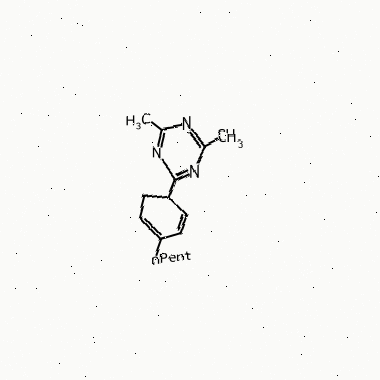 CCCCCC1=CCC(c2nc(C)nc(C)n2)C=C1